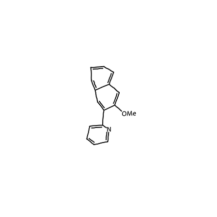 COc1cc2ccccc2cc1-c1ccccn1